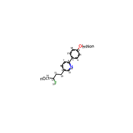 CCCCCCCCCOc1ccc(-c2ccc(CCC(F)CCCCCCCC)cn2)cc1